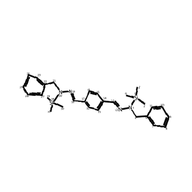 C[Si](C)(C)N(Cc1ccccc1)/N=C/c1ccc(/C=N/N(Cc2ccccc2)[Si](C)(C)C)cc1